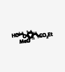 C#CCOc1ccc(CCC(=O)OCC)cc1OC